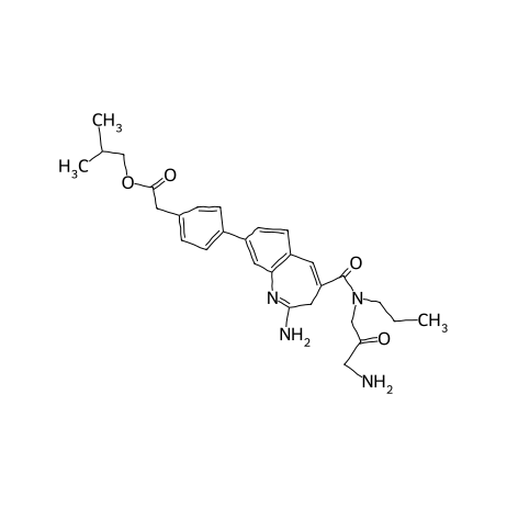 CCCN(CC(=O)CN)C(=O)C1=Cc2ccc(-c3ccc(CC(=O)OCC(C)C)cc3)cc2N=C(N)C1